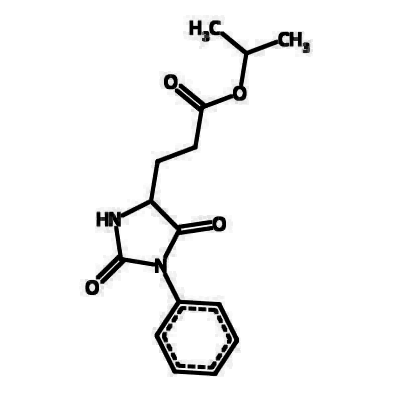 CC(C)OC(=O)CCC1NC(=O)N(c2ccccc2)C1=O